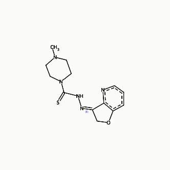 CN1CCN(C(=S)N/N=C2/COc3cccnc32)CC1